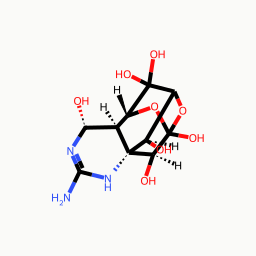 NC1=N[C@H](O)[C@H]2[C@H]3OC4(O)OC([C@@H](O)[C@@]2(N1)[C@@H]4O)C3(O)O